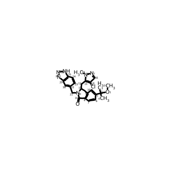 COC(C)(C)c1ccc2c(c1)C(Cc1c(Cl)cnn1C)N(Cc1ccc3[nH]nnc3c1)C2=O